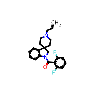 C=CCN1CCC2(CC1)CN(C(=O)c1c(F)cccc1F)c1ccccc12